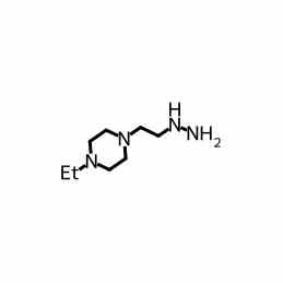 CCN1CCN(CCNN)CC1